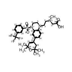 CN(CCN1CCN(S(=O)(=O)c2cccc(C(F)(F)F)c2)c2cc(C3=CC(C)(C)OC(C)(C)C3)ccc21)CC(=O)O